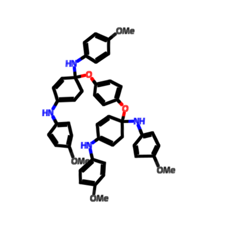 COc1ccc(NC2=CCC(Nc3ccc(OC)cc3)(Oc3ccc(OC4(Nc5ccc(OC)cc5)C=CC(Nc5ccc(OC)cc5)=CC4)cc3)C=C2)cc1